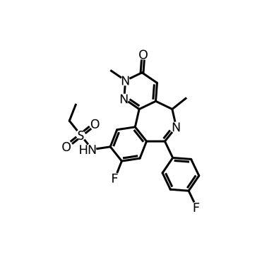 CCS(=O)(=O)Nc1cc2c(cc1F)C(c1ccc(F)cc1)=NC(C)c1cc(=O)n(C)nc1-2